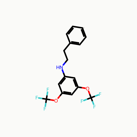 FC(F)(F)Oc1cc(NCCc2cc[c]cc2)cc(OC(F)(F)F)c1